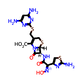 Nc1cc(N)nc(SCC2=C(C(=O)O)N3C(=O)[C@@H](NC(=O)/C(=N\O)c4csc(N)n4)[C@H]3SC2)n1